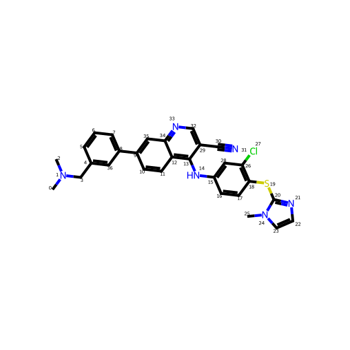 CN(C)Cc1cccc(-c2ccc3c(Nc4ccc(Sc5nccn5C)c(Cl)c4)c(C#N)cnc3c2)c1